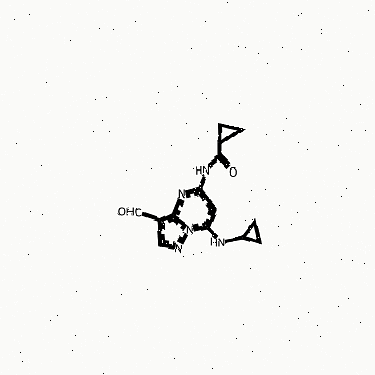 O=Cc1cnn2c(NC3CC3)cc(NC(=O)C3CC3)nc12